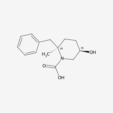 C[C@]1(Cc2ccccc2)CC[C@@H](O)CN1C(=O)O